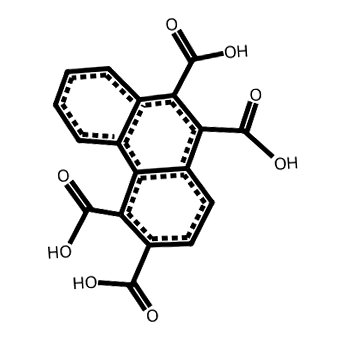 O=C(O)c1ccc2c(C(=O)O)c(C(=O)O)c3ccccc3c2c1C(=O)O